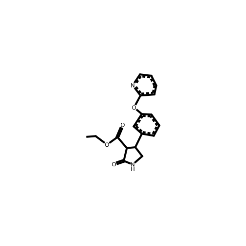 CCOC(=O)C1C(=O)NCC1c1cccc(Oc2ccccn2)c1